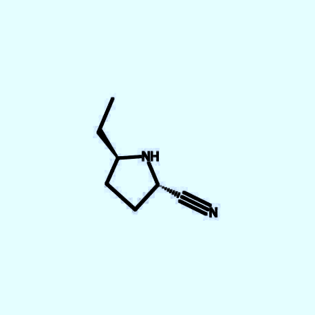 CC[C@@H]1CC[C@@H](C#N)N1